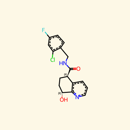 O=C(NCc1ccc(F)cc1Cl)[C@@H]1CC[C@@H](O)c2ncccc21